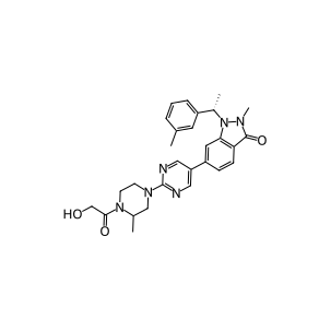 Cc1cccc([C@H](C)n2c3cc(-c4cnc(N5CCN(C(=O)CO)C(C)C5)nc4)ccc3c(=O)n2C)c1